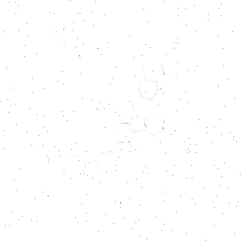 COCC1CCCN1CCN1CCc2c(c3cc(F)ccc3n2Cc2ccc(C(=O)O)c(C)c2)C1=O